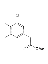 COC(=O)Cc1cc(C)c(C)c(Cl)c1